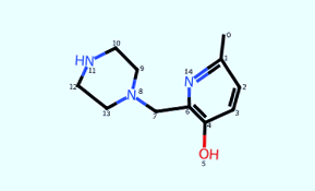 Cc1ccc(O)c(CN2CCNCC2)n1